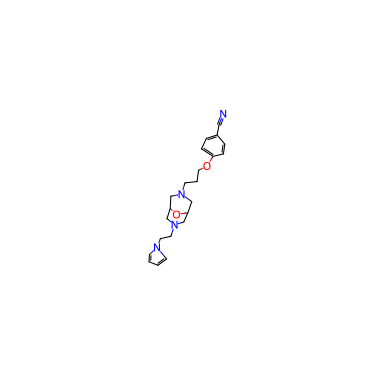 N#Cc1ccc(OCCCN2CC3CN(CCn4cccc4)CC(C2)O3)cc1